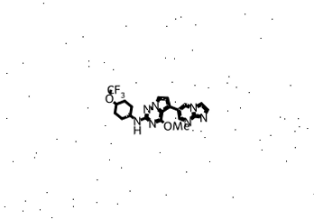 COc1nc(NC2CCC(OC(F)(F)F)CC2)nn2ccc(-c3cnc4nccn4c3)c12